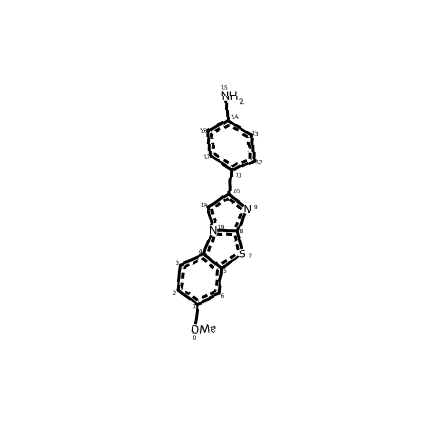 COc1ccc2c(c1)sc1nc(-c3ccc(N)cc3)cn12